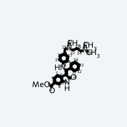 COC(=O)c1ccc2c(c1)NC(=O)C2=C(Nc1ccc(CN(C)CCCN(C)C)cc1)c1ccccc1